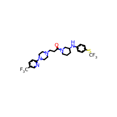 O=C(CCN1CCN(c2ccc(C(F)(F)F)cn2)CC1)N1CCC[C@H](Nc2ccc(SC(F)(F)F)cc2)C1